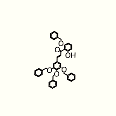 O=C(/C=C/c1cc(OCc2ccccc2)c(OCc2ccccc2)c(OCc2ccccc2)c1)c1c(O)cccc1OCc1ccccc1